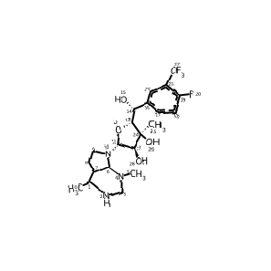 CC1NCN(C)C2C1CCN2[C@@H]1O[C@H]([C@H](O)c2ccc(F)c(C(F)(F)F)c2)[C@@](C)(O)[C@H]1O